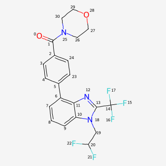 O=C(c1ccc(-c2cccc3c2nc(C(F)(F)F)n3CC(F)F)cc1)N1CCOCC1